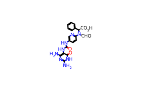 Nc1nc(N)c(NC(=O)Nc2ccc(N(C=O)[C@H](C(=O)O)c3ccccc3)nc2)c(=O)[nH]1